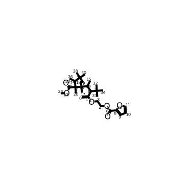 C=C(OCCOC(=O)c1ccco1)C(C(C)C(C)(C)C(C)(C(=O)OC)C(C)C(C)(C)C)C(C)(C)C